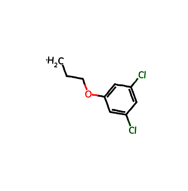 [CH2]CCOc1cc(Cl)cc(Cl)c1